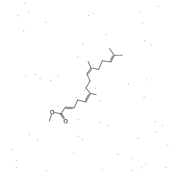 COC(=O)C=CCC=C(C)CCC=C(C)CCC=C(C)C